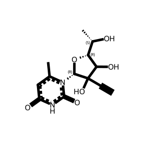 C#CC1(O)C(O)[C@@H]([C@H](C)O)O[C@H]1n1c(C)cc(=O)[nH]c1=O